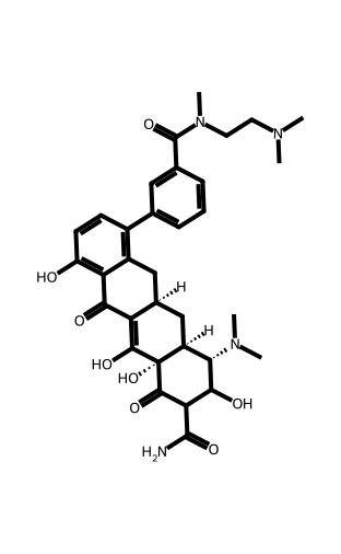 CN(C)CCN(C)C(=O)c1cccc(-c2ccc(O)c3c2C[C@H]2C[C@H]4[C@H](N(C)C)C(O)C(C(N)=O)C(=O)[C@@]4(O)C(O)=C2C3=O)c1